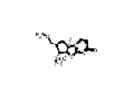 C[C@@]12Oc3nc(=O)ccn3[C@@H]1C[C@H](COP)[C@H]2OP